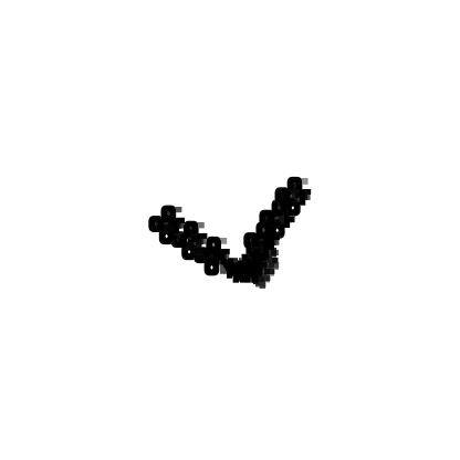 [NH4+].[NH4+].[NH4+].[NH4+].[NH4+].[NH4+].[O]=[Cr](=[O])([O-])[F].[O]=[Cr](=[O])([O-])[F].[O]=[Cr](=[O])([O-])[F].[O]=[Cr](=[O])([O-])[F].[O]=[Cr](=[O])([O-])[F].[O]=[Cr](=[O])([O-])[F]